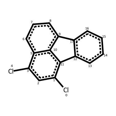 Clc1cc(Cl)c2cccc3c2c1-c1ccccc1-3